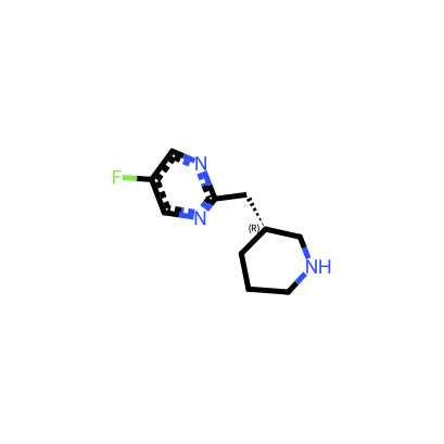 Fc1cnc(C[C@H]2CCCNC2)nc1